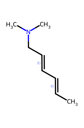 C/C=C/C=C/CN(C)C